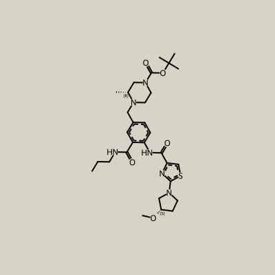 CCCNC(=O)c1cc(CN2CCN(C(=O)OC(C)(C)C)C[C@H]2C)ccc1NC(=O)c1csc(N2CC[C@H](OC)C2)n1